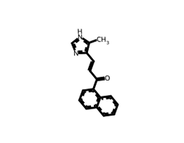 Cc1[nH]cnc1/C=C/C(=O)c1cccc2ccccc12